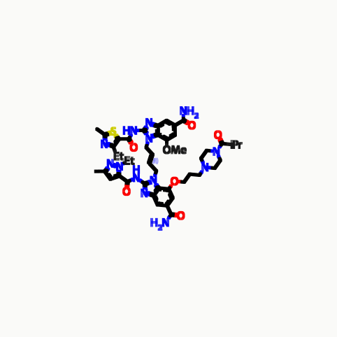 CCc1nc(C)sc1C(=O)Nc1nc2cc(C(N)=O)cc(OC)c2n1C/C=C/Cn1c(NC(=O)c2cc(C)nn2CC)nc2cc(C(N)=O)cc(OCCCN3CCN(C(=O)C(C)C)CC3)c21